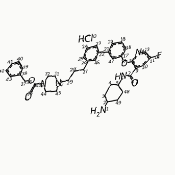 Cl.NC1CCC(NC(=O)c2cc(F)cnc2Oc2cccc(-c3cccc(CCCN4CCN(C(=O)OCc5ccccc5)CC4)c3)c2)CC1